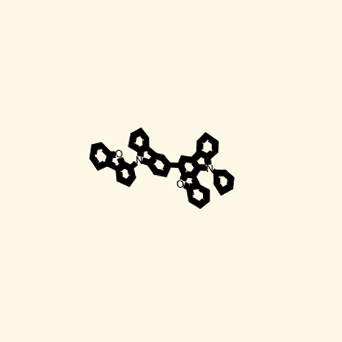 c1ccc(-n2c3ccccc3c3cc(-c4ccc5c(c4)c4ccccc4n5-c4cccc5c4oc4ccccc45)c4oc5ccccc5c4c32)cc1